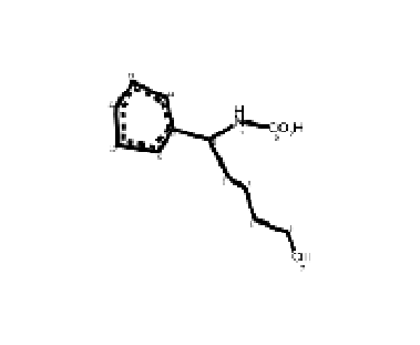 O=C(O)NC(CCCCO)c1ccccc1